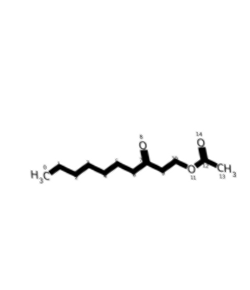 CCCCCCCC(=O)CCOC(C)=O